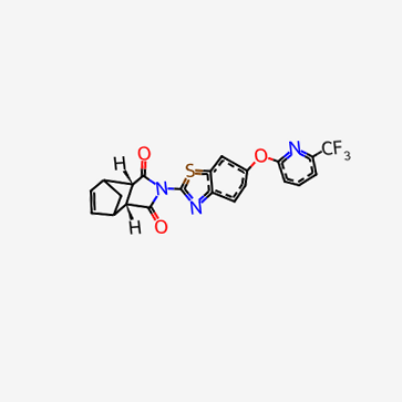 O=C1[C@@H]2C3C=CC(C3)[C@@H]2C(=O)N1c1nc2ccc(Oc3cccc(C(F)(F)F)n3)cc2s1